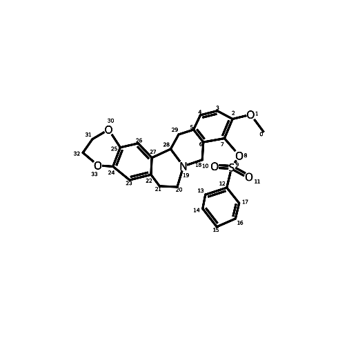 COc1ccc2c(c1OS(=O)(=O)c1ccccc1)CN1CCc3cc4c(cc3C1C2)OCCO4